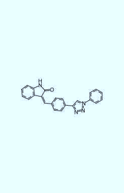 O=C1Nc2ccccc2/C1=C/c1ccc(-c2cn(-c3ccccc3)nn2)cc1